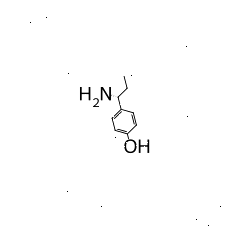 CC[C@@H](N)c1ccc(O)cc1